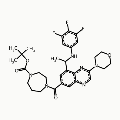 CC(Nc1cc(F)c(F)c(F)c1)c1cc(C(=O)N2CCCN(C(=O)OC(C)(C)C)CC2)cc2ncc(N3CCOCC3)nc12